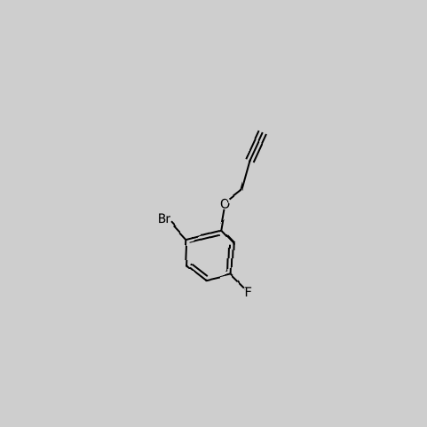 C#CCOc1cc(F)ccc1Br